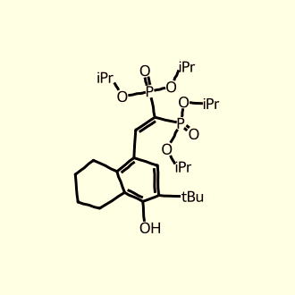 CC(C)OP(=O)(OC(C)C)C(=Cc1cc(C(C)(C)C)c(O)c2c1CCCC2)P(=O)(OC(C)C)OC(C)C